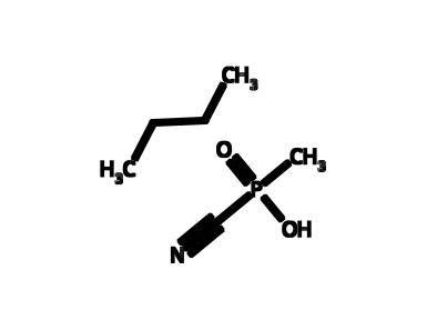 CCCC.CP(=O)(O)C#N